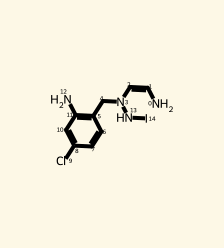 N/C=C\N(Cc1ccc(Cl)cc1N)NI